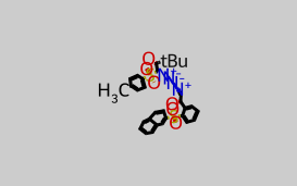 Cc1ccc(S(=O)(=O)C(=[N+]=[N-])C(=O)C(C)(C)C)cc1.[N-]=[N+]=CC(=O)c1ccccc1S(=O)(=O)c1ccc2ccccc2c1